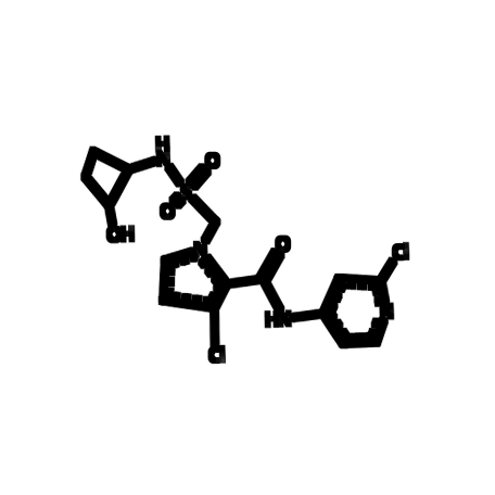 O=C(Nc1ccnc(Cl)c1)c1c(Cl)ccn1CS(=O)(=O)NC1CCC1O